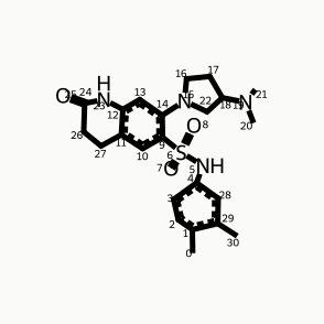 Cc1ccc(NS(=O)(=O)c2cc3c(cc2N2CCC(N(C)C)C2)NC(=O)CC3)cc1C